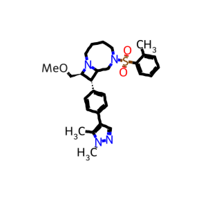 COC[C@@H]1[C@@H](c2ccc(-c3cnn(C)c3C)cc2)C2CN(S(=O)(=O)c3ccccc3C)CCCCN21